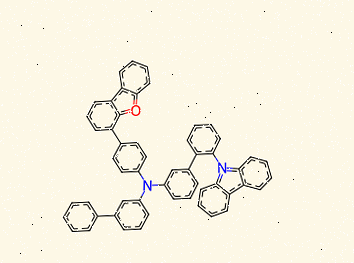 c1ccc(-c2cccc(N(c3ccc(-c4cccc5c4oc4ccccc45)cc3)c3cccc(-c4ccccc4-n4c5ccccc5c5ccccc54)c3)c2)cc1